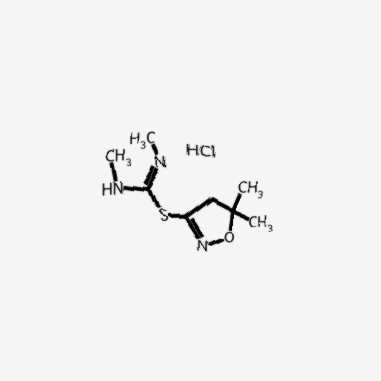 CN=C(NC)SC1=NOC(C)(C)C1.Cl